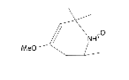 COC1=CC(C)(C)[NH+]([O-])C(C)(C)C1